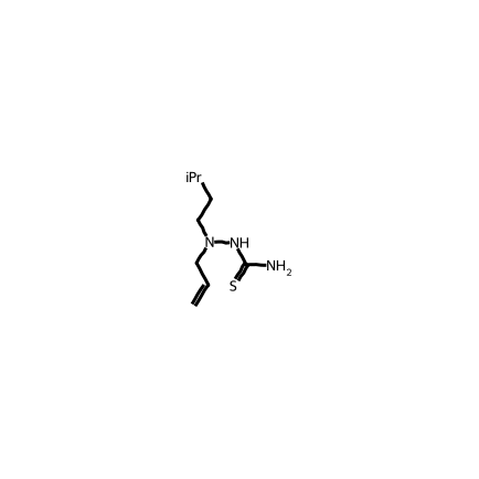 C=CCN(CCC(C)C)NC(N)=S